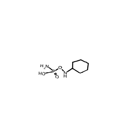 NP(=O)(O)ONC1CCCCC1